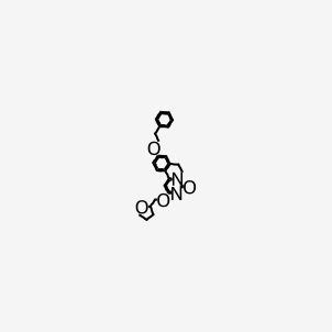 O=c1nc(OCC2CCCO2)cc2n1CCc1cc(OCCc3ccccc3)ccc1-2